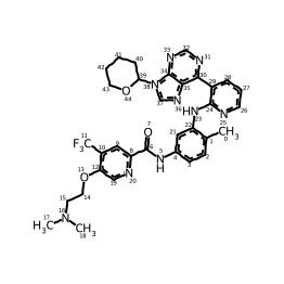 Cc1ccc(NC(=O)c2cc(C(F)(F)F)c(OCCN(C)C)cn2)cc1Nc1ncccc1-c1ncnc2c1ncn2C1CCCCO1